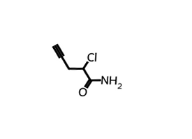 C#CCC(Cl)C(N)=O